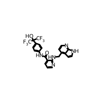 O=C(Nc1ccc(C(O)(C(F)(F)F)C(F)(F)F)cc1)c1cccnc1NCc1ccnc2[nH]ccc12